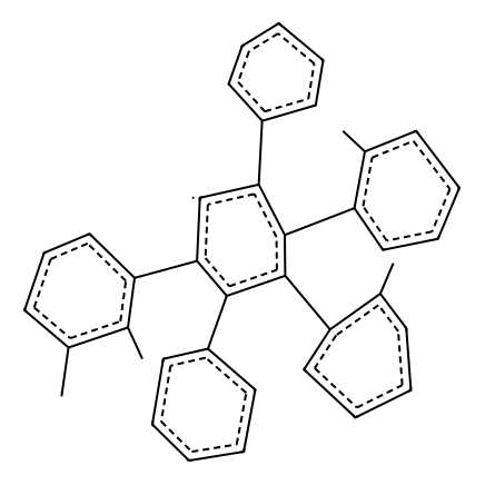 Cc1ccccc1-c1c(-c2ccccc2)[c]c(-c2cccc(C)c2C)c(-c2ccccc2)c1-c1ccccc1C